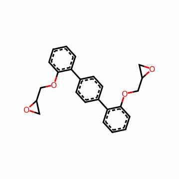 c1ccc(-c2ccc(-c3ccccc3OCC3CO3)cc2)c(OCC2CO2)c1